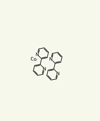 [Co].c1ccc(-c2ccccn2)nc1.c1ccc(-c2ccccn2)nc1